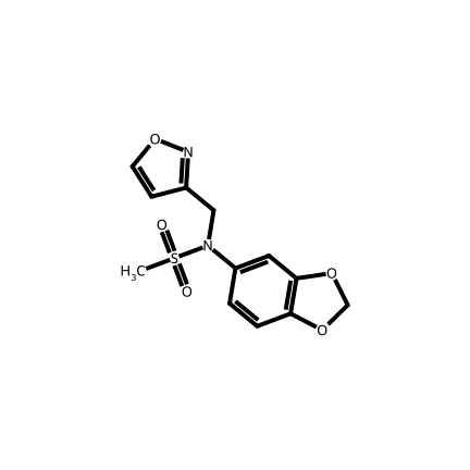 CS(=O)(=O)N(Cc1ccon1)c1ccc2c(c1)OCO2